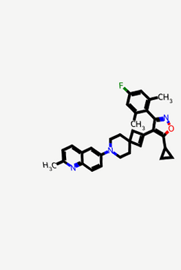 Cc1ccc2cc(N3CCC4(C=C(c5c(-c6c(C)cc(F)cc6C)noc5C5CC5)C4)CC3)ccc2n1